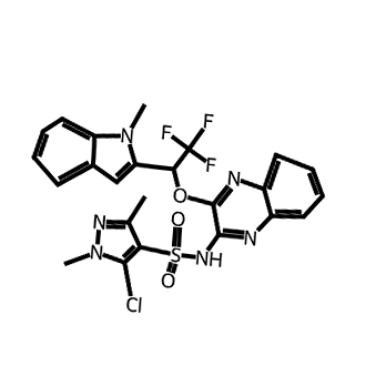 Cc1nn(C)c(Cl)c1S(=O)(=O)Nc1nc2ccccc2nc1OC(c1cc2ccccc2n1C)C(F)(F)F